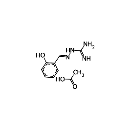 CC(=O)O.N=C(N)N/N=C/c1ccccc1O